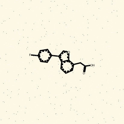 O=C(O)Cc1cccc2c(-c3ccc(F)cc3)coc12